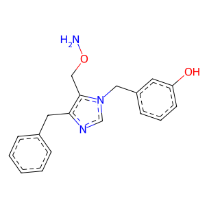 NOCc1c(Cc2ccccc2)ncn1Cc1cccc(O)c1